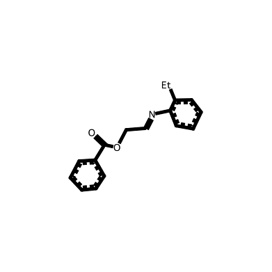 CCc1ccccc1N=CCOC(=O)c1ccccc1